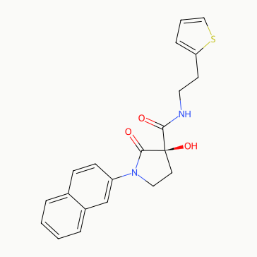 O=C(NCCc1cccs1)[C@]1(O)CCN(c2ccc3ccccc3c2)C1=O